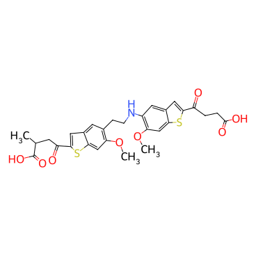 COc1cc2sc(C(=O)CC(C)C(=O)O)cc2cc1CCNc1cc2cc(C(=O)CCC(=O)O)sc2cc1OC